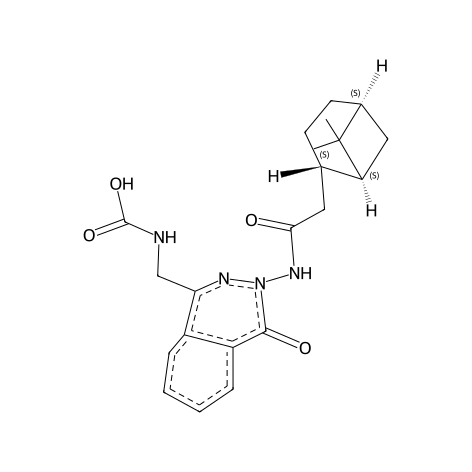 CC1(C)[C@H]2CC[C@@H](CC(=O)Nn3nc(CNC(=O)O)c4ccccc4c3=O)[C@@H]1C2